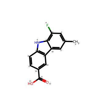 Cc1cc(F)c2[nH]c3ccc(C(=O)O)cc3c2c1